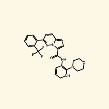 O=C(NC1=C(N2CCOCC2)NCC=C1)c1cnc2ccc(-c3ccccc3C(F)(F)F)nn12